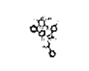 O=C1[C@H](CC[C@H](O)c2ccccc2)[C@@H](c2ccc(-c3ccccc3[C@@H]3O[C@H](CO)[C@@H](O)[C@H](O)[C@H]3O)cc2O)N1c1ccc(F)cc1